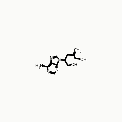 C=C(CO)CC(CO)n1cnc2c(N)ncnc21